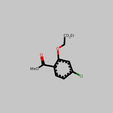 CCOC(=O)COc1cc(Cl)ccc1C(=O)OC